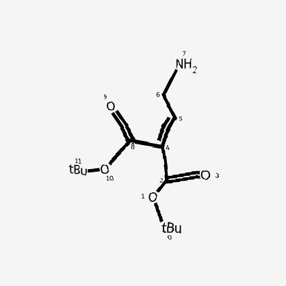 CC(C)(C)OC(=O)C(=CCN)C(=O)OC(C)(C)C